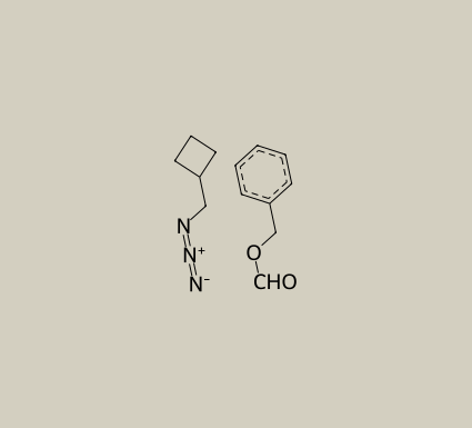 O=COCc1ccccc1.[N-]=[N+]=NCC1CCC1